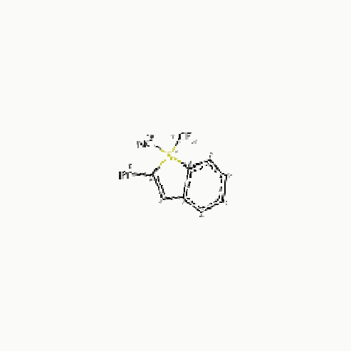 CC(C)C1=Cc2ccccc2S1(C#N)C(F)(F)F